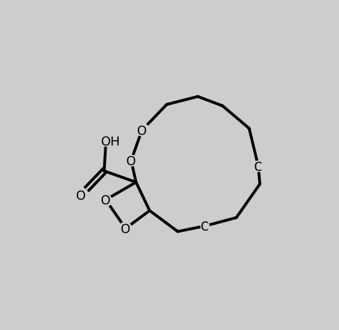 O=C(O)C12OOCCCCCCCCCC1OO2